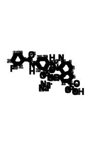 Nc1ccc2cc(S(=O)(=O)O)cc(O)c2c1N=Nc1ccc(NC(=O)c2cccc(F)c2)cc1S(=O)(=O)O.[Na].[Na]